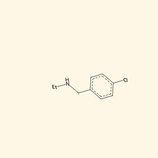 CCN[CH]c1ccc(Cl)cc1